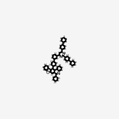 c1ccc(-c2ccc(-c3cc(-c4cccc(-c5ccc(-c6c7c(cc8c(-c9ccccc9)nc9ccccc9c68)oc6ccccc67)cc5)c4)nc(-c4ccc(-c5ccccc5)cc4)n3)cc2)cc1